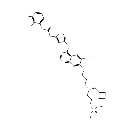 COc1cc2c(Nc3cc(CC(=O)Nc4cccc(F)c4F)[nH]n3)ncnc2cc1OCCCN(CCOP(=O)(OC(C)(C)C)OC(C)(C)C)CC1CCC1